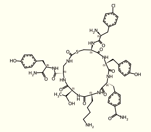 CC(O)[C@@H]1NC(=O)[C@H](CCCCN)NC(=O)[C@@H](Cc2ccc(C(N)=O)cc2)NC(=O)[C@H](Cc2ccc(O)cc2)NC(=O)[C@H](NC(=O)[C@@H](N)Cc2ccc(Cl)cc2)CSC(=O)NC[C@@H](C(=O)N[C@H](Cc2ccc(O)cc2)C(N)=O)NC1=O